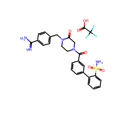 N=C(N)c1ccc(CN2CCN(C(=O)c3cccc(-c4ccccc4S(N)(=O)=O)c3)CC2=O)cc1.O=C(O)C(F)(F)F